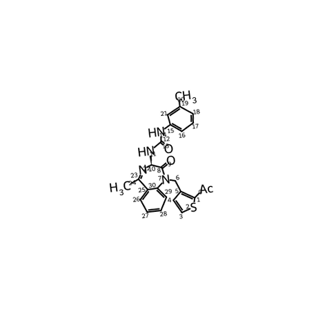 CC(=O)c1sccc1CN1C(=O)[C@H](NC(=O)Nc2cccc(C)c2)N=C(C)c2ccccc21